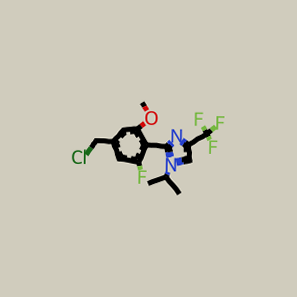 COc1cc(CCl)cc(F)c1-c1nc(C(F)(F)F)cn1C(C)C